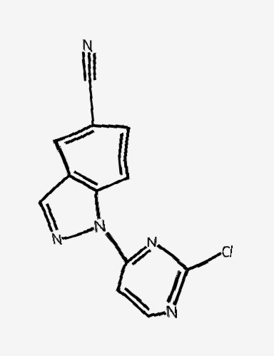 N#Cc1ccc2c(cnn2-c2ccnc(Cl)n2)c1